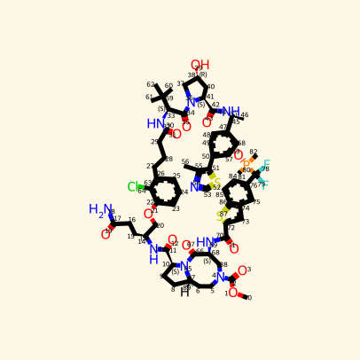 COC(=O)N1CC[C@H]2CC[C@@H](C(=O)N[C@@H](CCC(N)=O)COc3cccc(CCCC(=O)N[C@H](C(=O)N4C[C@H](O)C[C@H]4C(=O)N[C@@H](C)c4ccc(-c5scnc5C)cc4)C(C)(C)C)c3Cl)N2C(=O)[C@@H](NC(=O)c2cc3cc(C(F)(F)P(C)(C)=O)ccc3s2)C1